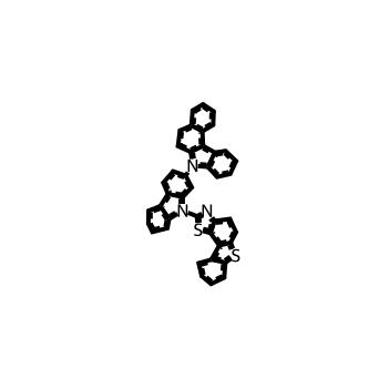 c1ccc2c(c1)ccc1c2c2ccccc2n1-c1ccc2c3ccccc3n(-c3nc4ccc5sc6ccccc6c5c4s3)c2c1